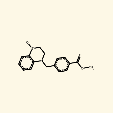 COC(=O)c1ccc(CN2CC[S+]([O-])c3ccccc32)cc1